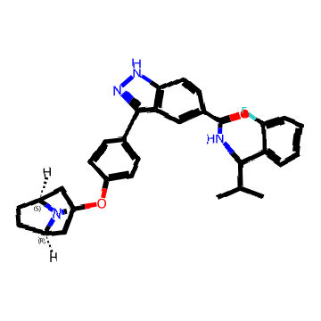 CC(C)C(NC(=O)c1ccc2[nH]nc(-c3ccc(OC4C[C@H]5CC[C@@H](C4)N5C)cc3)c2c1)c1ccccc1F